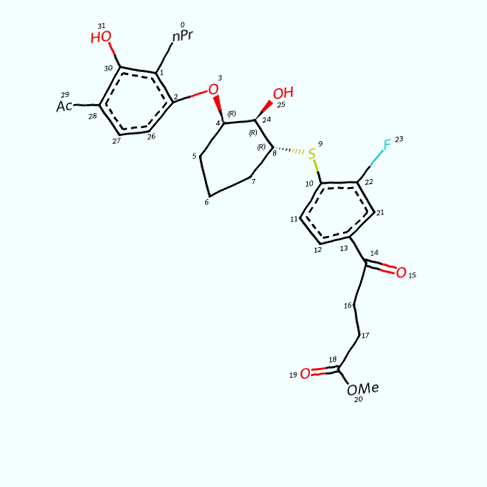 CCCc1c(O[C@@H]2CCC[C@@H](Sc3ccc(C(=O)CCC(=O)OC)cc3F)[C@@H]2O)ccc(C(C)=O)c1O